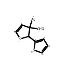 CC(=O)C1(C=O)C=CSC1c1cccs1